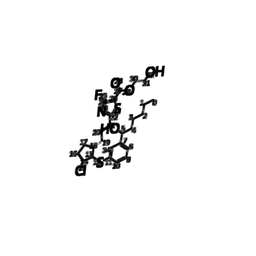 CCCCCC(O)c1cccc(SC2C(Cl)CC[C@@H]2CCCc2nc(F)c(C(=O)OCCO)s2)c1